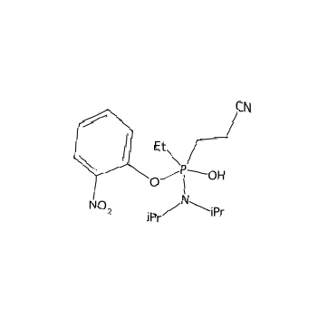 CCP(O)(CCC#N)(Oc1ccccc1[N+](=O)[O-])N(C(C)C)C(C)C